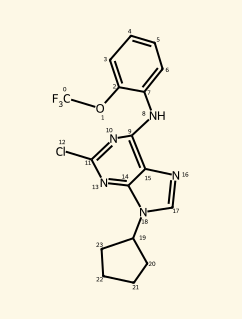 FC(F)(F)Oc1ccccc1Nc1nc(Cl)nc2c1ncn2C1CCCC1